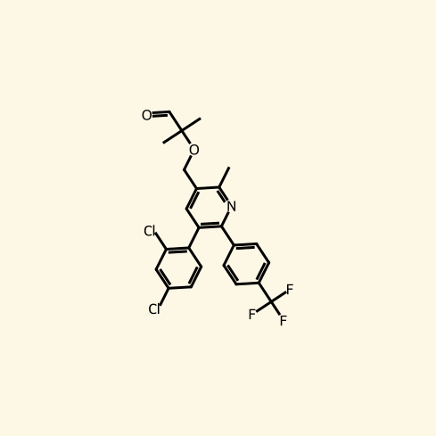 Cc1nc(-c2ccc(C(F)(F)F)cc2)c(-c2ccc(Cl)cc2Cl)cc1COC(C)(C)C=O